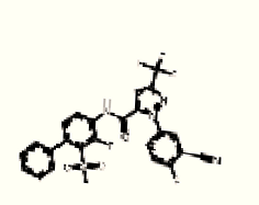 CS(=O)(=O)c1c(-c2ccccc2)ccc(NC(=O)c2cc(C(F)(F)F)nn2-c2ccc(F)c(C#N)c2)c1F